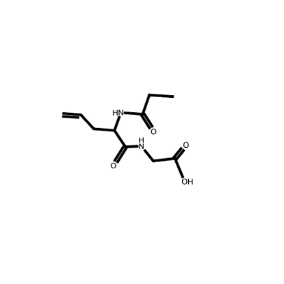 C=CCC(NC(=O)CC)C(=O)NCC(=O)O